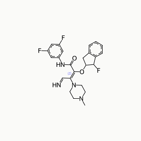 CN1CCN(/C(C=N)=C(\OC2Cc3ccccc3C2F)C(=O)Nc2cc(F)cc(F)c2)CC1